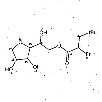 CCC(CC(C)(C)C)C(=O)OCC(O)C1OCC(O)C1O